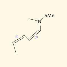 C/C=C\C=C/N(C)SC